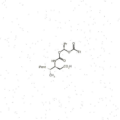 CCC[C@@H](C)[C@@H](C)[C@H](CC(=O)O)NC(=O)O[C@H](OC(=O)CC)C(C)C